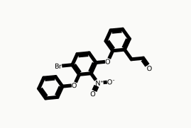 O=CCc1ccccc1Oc1ccc(Br)c(Oc2ccccc2)c1[N+](=O)[O-]